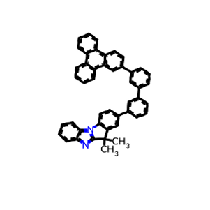 CC1(C)c2cc(-c3cccc(-c4cccc(-c5ccc6c7ccccc7c7ccccc7c6c5)c4)c3)ccc2-n2c1nc1ccccc12